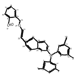 Cc1cc(C)cc(N(c2cc(C)cc(C)c2)c2ccc3cc(C=COCc4ccccc4C=O)ccc3c2)c1